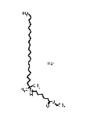 Br.CCCCCCCCCCCCCCCCCCCCCC(C)(C)NCCCCCC(=O)OCC